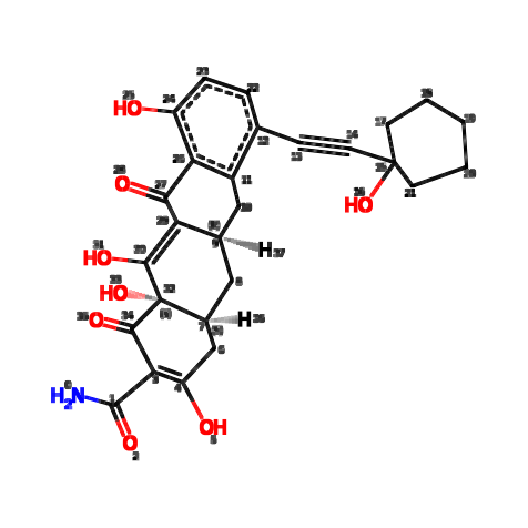 NC(=O)C1=C(O)C[C@@H]2C[C@@H]3Cc4c(C#CC5(O)CCCCC5)ccc(O)c4C(=O)C3=C(O)[C@]2(O)C1=O